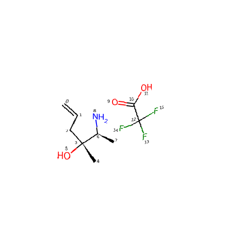 C=CC[C@@](C)(O)[C@H](C)N.O=C(O)C(F)(F)F